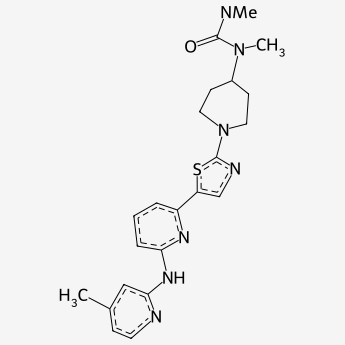 CNC(=O)N(C)C1CCN(c2ncc(-c3cccc(Nc4cc(C)ccn4)n3)s2)CC1